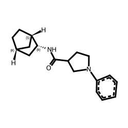 O=C(N[C@@H]1C[C@@H]2CC[C@H]1C2)C1CCN(c2ccccc2)C1